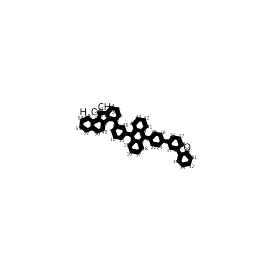 CC1(C)c2cccc(-c3cccc(-c4c5ccccc5c(-c5ccc(-c6ccc7oc8ccccc8c7c6)cc5)c5ccccc45)c3)c2-c2ccc3ccccc3c21